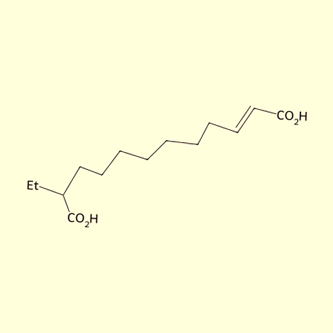 CCC(CCCCCCCC=CC(=O)O)C(=O)O